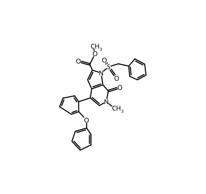 COC(=O)c1cc2c(-c3ccccc3Oc3ccccc3)cn(C)c(=O)c2n1S(=O)(=O)Cc1ccccc1